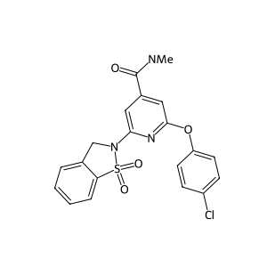 CNC(=O)c1cc(Oc2ccc(Cl)cc2)nc(N2Cc3ccccc3S2(=O)=O)c1